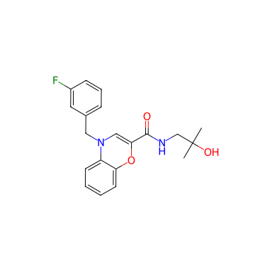 CC(C)(O)CNC(=O)C1=CN(Cc2cccc(F)c2)c2ccccc2O1